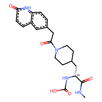 CNC(=O)[C@@H](CC1CCN(C(=O)Cc2ccc3[nH]c(=O)ccc3c2)CC1)NC(=O)O